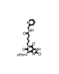 CCCCCn1c(=O)n(CCCCC(=O)NCc2ccccn2)c(=O)c2[nH]c(Cl)nc21